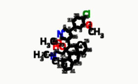 COc1cc(-c2cnc(OC)c(C(c3ccccc3)C(O)(CCN(C)C)c3cccc4ccccc34)c2)ccc1Cl